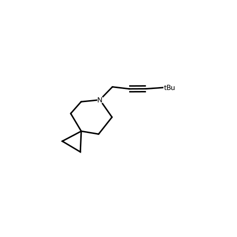 CC(C)(C)C#CCN1CCC2(CC1)CC2